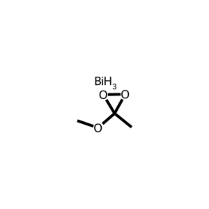 COC1(C)OO1.[BiH3]